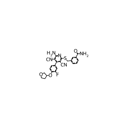 [C-]#[N+]c1c(N)nc(SCc2cccc(C(N)=O)c2)c(C#N)c1-c1ccc(OC2CCOC2)c(F)c1